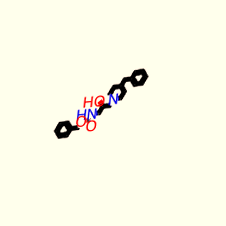 O=C(NCC(O)CN1CCC(Cc2ccccc2)CC1)OCc1ccccc1